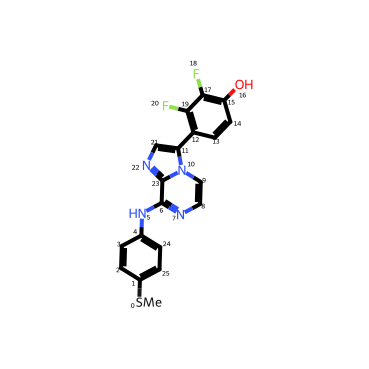 CSc1ccc(Nc2nccn3c(-c4ccc(O)c(F)c4F)cnc23)cc1